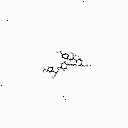 CC1=C(c2ccc(O)cc2F)C(c2ccc(OC[C@H](C)N3CC[C@@H](CF)C3)cc2)Oc2cc(O)ccc21